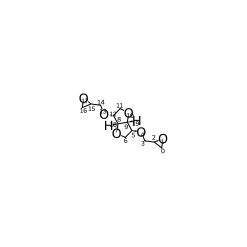 C1OC1CO[C@H]1CO[C@H]2[C@@H]1OC[C@H]2OCC1CO1